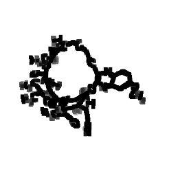 COc1ccc2nc3c(nc2c1)O[C@H]1CN(C(=O)[C@H](C(C)(C)C)NC(=O)O[C@]2(C)C[C@H]2CCCCC3)[C@H](C(C)=O)[C@@H]1CC#N